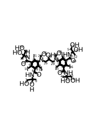 CC(O)(CO)NC(=O)c1c(I)c(C(=O)NC(C)(O)CO)c(I)c(N(C=O)CC(O)CN(C=O)c2c(I)c(C(=O)NC(C)(O)CO)c(I)c(C(=O)NC(C)(O)CO)c2I)c1I